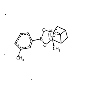 Cc1cccc(B2OC3CC4CC(C4(C)C)[C@]3(C)O2)c1